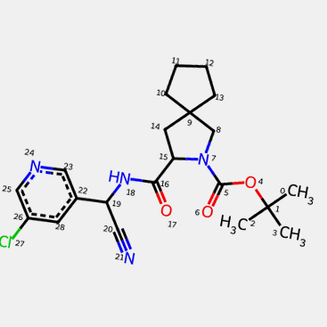 CC(C)(C)OC(=O)N1CC2(CCCC2)CC1C(=O)NC(C#N)c1cncc(Cl)c1